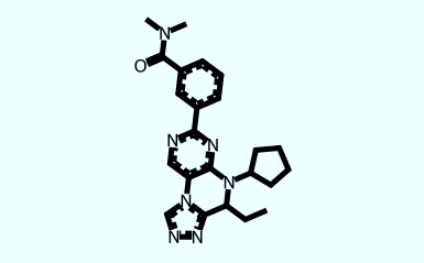 CCC1c2nncn2-c2cnc(-c3cccc(C(=O)N(C)C)c3)nc2N1C1CCCC1